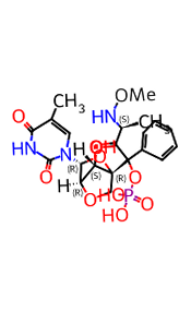 CON[C@@H](C)C(=O)C(OP(=O)(O)O)(c1ccccc1)[C@]12CO[C@@H]([C@H](n3cc(C)c(=O)[nH]c3=O)O1)[C@@H]2O